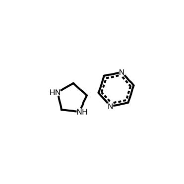 C1CNCN1.c1cnccn1